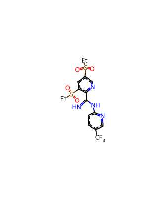 CCS(=O)(=O)c1cnc(C(=N)Nc2ccc(C(F)(F)F)cn2)c(S(=O)(=O)CC)c1